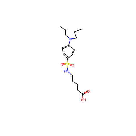 CCCN(CCC)c1ccc(S(=O)(=O)NCCCCC(=O)O)cc1